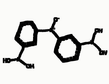 [O-][S+](c1cccc(B(O)O)c1)c1cccc(B(O)O)c1